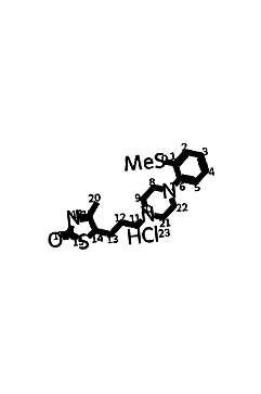 CSc1ccccc1N1CCN(CCCC2SC(=O)N=C2C)CC1.Cl